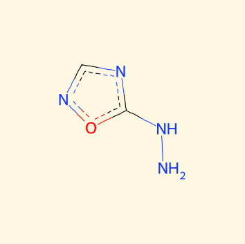 NNc1ncno1